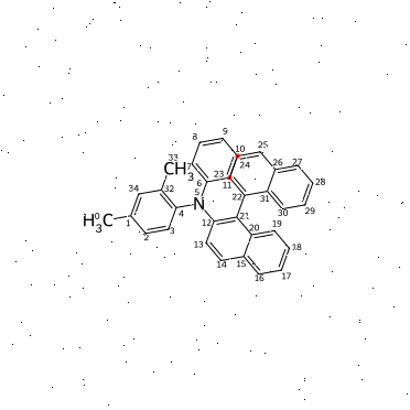 Cc1ccc(N(c2ccccc2)c2ccc3ccccc3c2-c2cccc3ccccc23)c(C)c1